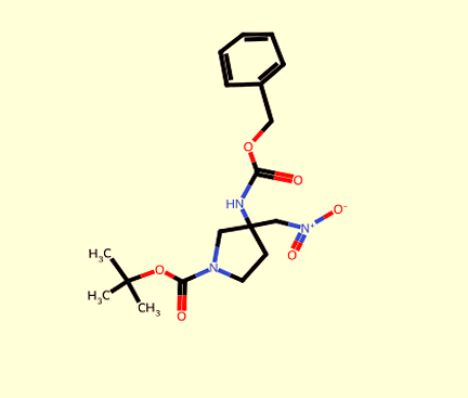 CC(C)(C)OC(=O)N1CCC(C[N+](=O)[O-])(NC(=O)OCc2ccccc2)C1